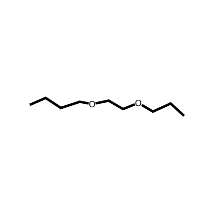 CC[CH]COCCOCCC